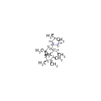 C=CC(=C)C(=C)SC[C@H](C)CC(=C(C)CC)C(/C=C\C)=C/CC